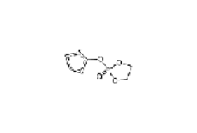 O=P1(Oc2cccs2)OCCO1